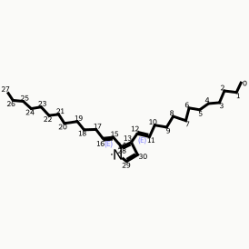 CCCCCCCCCCC/C=C/C1=C(/C=C/CCCCCCCCCCC)[N]C=C1